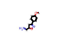 COc1ccc(C2=NOC(CN)C2)cc1